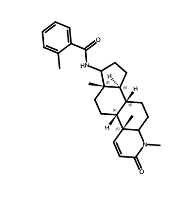 Cc1ccccc1C(=O)NC1CC[C@H]2[C@@H]3CCC4N(C)C(=O)C=C[C@]4(C)[C@@H]3CC[C@]12C